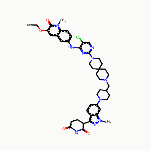 CC(=O)COc1cc2cc(Nc3nc(N4CCC5(CCN(CC6CCN(c7ccc8c(C9CCC(=O)NC9=O)nn(C)c8c7)CC6)CC5)CC4)ncc3Cl)ccc2n(C)c1=O